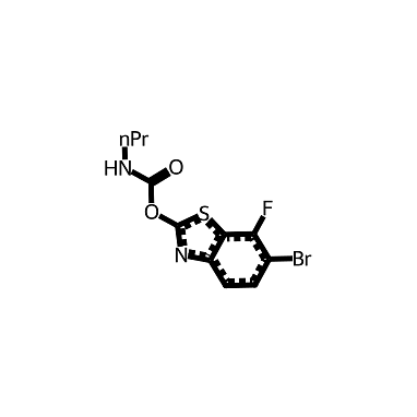 CCCNC(=O)Oc1nc2ccc(Br)c(F)c2s1